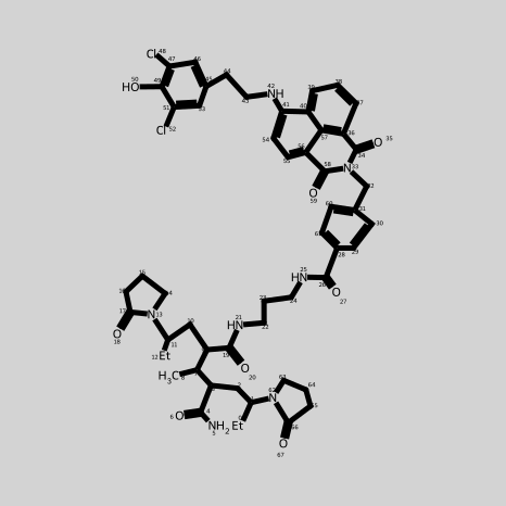 CCC(CC(C(N)=O)C(C)C(CC(CC)N1CCCC1=O)C(=O)NCCCNC(=O)c1ccc(CN2C(=O)c3cccc4c(NCCc5cc(Cl)c(O)c(Cl)c5)ccc(c34)C2=O)cc1)N1CCCC1=O